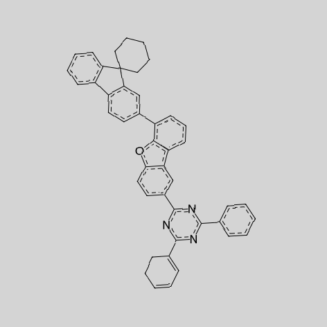 C1=CCCC(c2nc(-c3ccccc3)nc(-c3ccc4oc5c(-c6ccc7c(c6)C6(CCCCC6)c6ccccc6-7)cccc5c4c3)n2)=C1